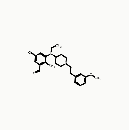 CCN(c1cc(Cl)cc(C=O)c1C)C1CCN(CCc2cccc(OC)c2)CC1